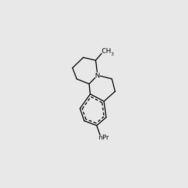 CCCc1ccc2c(c1)CCN1C(C)CCCC21